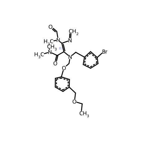 C=N/C(=C(/C(=O)N(C)C)N(COc1cccc(COCC)c1)Cc1cccc(Br)c1)N(C)C=O